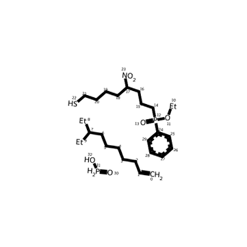 C=CCCCCCC(CC)CC.CCOP(=O)(CCCC(CCCCS)[N+](=O)[O-])c1ccccc1.O=[PH2]O